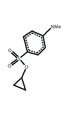 CNc1ccc(S(=O)(=O)OC2CC2)cc1